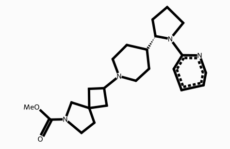 COC(=O)N1CCC2(CC(N3CCC([C@@H]4CCCN4c4ccccn4)CC3)C2)C1